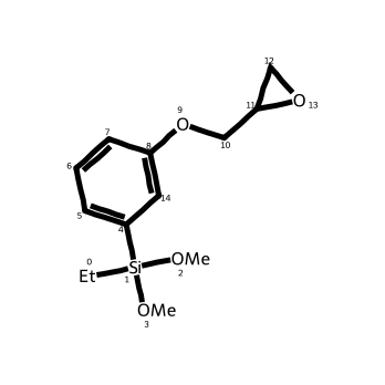 CC[Si](OC)(OC)c1cccc(OCC2CO2)c1